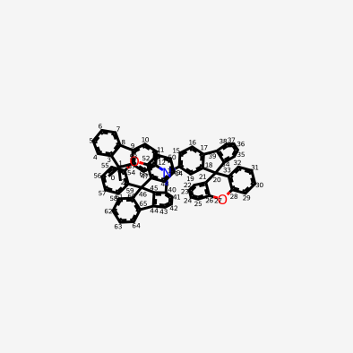 CC1(C)c2ccccc2-c2ccc(N(c3ccc4c(c3)C3(c5ccccc5Oc5ccccc53)c3ccccc3-4)c3cccc4c3C3(c5ccccc5Oc5ccccc53)c3ccccc3-4)cc21